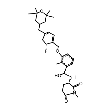 Cc1c(OCC2=CC=C(CC3CC(C)(C)OC(C)(C)C3)CC2F)cccc1C(O)N[C@@H]1CCC(=O)N(C)C1=O